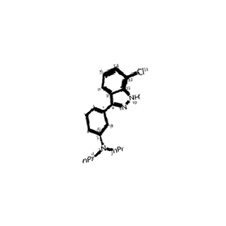 CCCN(CCC)[C@H]1CCC=C(c2n[nH]c3c(Cl)cccc23)C1